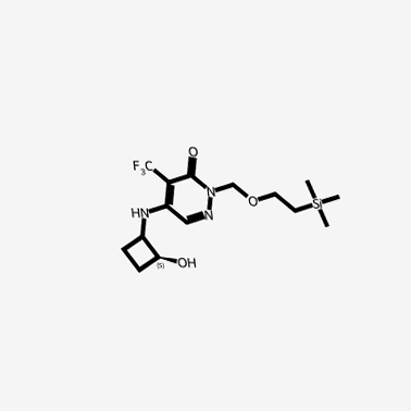 C[Si](C)(C)CCOCn1ncc(NC2CC[C@@H]2O)c(C(F)(F)F)c1=O